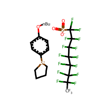 CCCCOc1ccc([S+]2CCCC2)cc1.O=S(=O)([O-])C(F)(F)C(F)(F)C(F)(F)C(F)(F)C(F)(F)C(F)(F)C(F)(F)C(F)(F)F